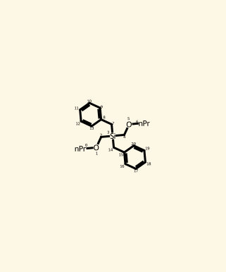 CCCOC[Si](COCCC)(Cc1ccccc1)Cc1ccccc1